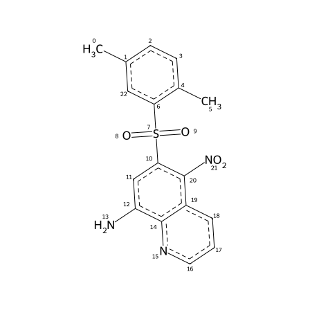 Cc1ccc(C)c(S(=O)(=O)c2cc(N)c3ncccc3c2[N+](=O)[O-])c1